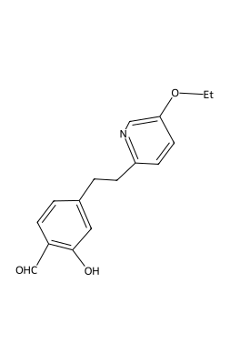 CCOc1ccc(CCc2ccc(C=O)c(O)c2)nc1